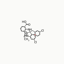 CCOc1cccc(C(=O)O)c1NC1(Cc2cccc(Cl)c2)C(=O)Nc2cc(Cl)ccc21